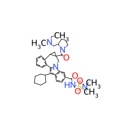 CCN(C)CC1CCCN1C(=O)C12CC1c1ccccc1-c1c(C3CCCCC3)c3ccc(C(=O)NS(=O)(=O)N(C)C)cc3n1C2